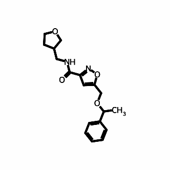 CC(OCc1cc(C(=O)NCC2CCOC2)no1)c1ccccc1